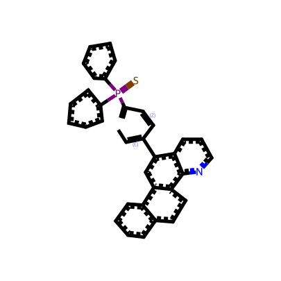 C=C(/C=C\C(=C/C)c1cc2c3ccccc3ccc2c2ncccc12)P(=S)(c1ccccc1)c1ccccc1